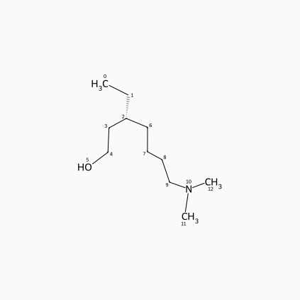 CC[C@@H](CCO)CCCCN(C)C